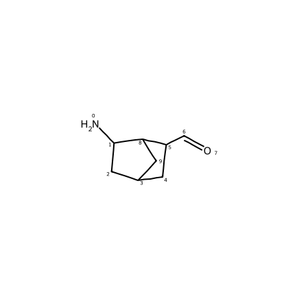 NC1CC2CC(C=O)C1C2